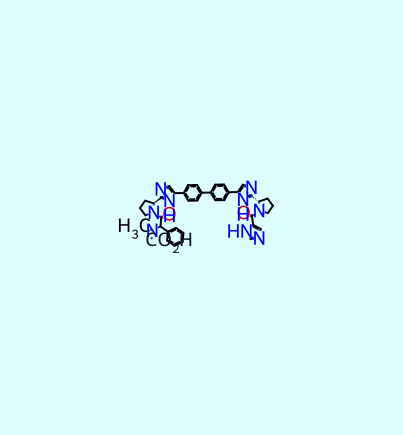 CN(C(=O)O)[C@@H](C(=O)N1CCC[C@H]1c1ncc(-c2ccc(-c3ccc(-c4cnc([C@@H]5CCCN5C(=O)c5cnc[nH]5)[nH]4)cc3)cc2)[nH]1)c1ccccc1